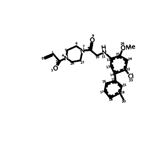 C=CC(=O)N1CCN(C(=O)CNc2cc(-c3cccc(C)c3)c(Cl)cc2OC)CC1